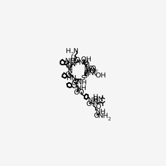 CC(C)N[C@H](C(=O)N[C@@H](CCCNC(N)=O)C(=O)Nc1ccc(COC(=O)N[C@H](Cc2ccccc2)C(=O)N[C@H]2CSSC[C@@H](C(=O)N[C@H](CO)[C@@H](C)O)NC(=O)C([C@@H](C)O)NC(=O)[C@H](CCCCN)NC(=O)[C@@H](Cc3c[nH]c4ccccc34)NC(=O)[C@H](Cc3ccccc3)NC2=O)cc1)C(C)C